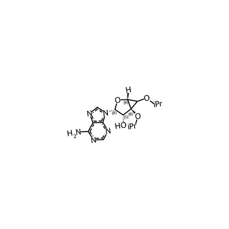 CC(C)OC1[C@H]2O[C@@H](n3cnc4c(N)ncnc43)[C@@H](O)[C@@]12OC(C)C